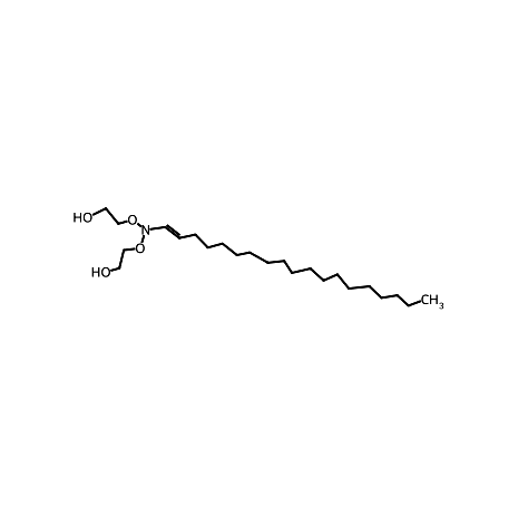 CCCCCCCCCCCCCCCCCC=CN(OCCO)OCCO